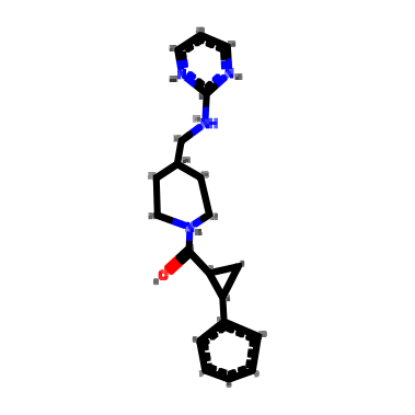 O=C(C1CC1c1ccccc1)N1CCC(CNc2ncccn2)CC1